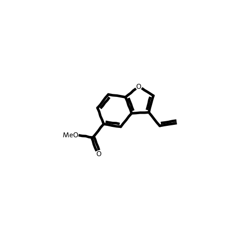 C=Cc1coc2ccc(C(=O)OC)cc12